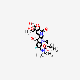 CC[C@@]1(O)C(=C=O)OCC2=C1C=C1C3=C(CN1C2=C=O)N(C1CC1)c1cc(CN(C(=O)OC(C)(C)C)C(C)C)c(F)cc1C3=C=O